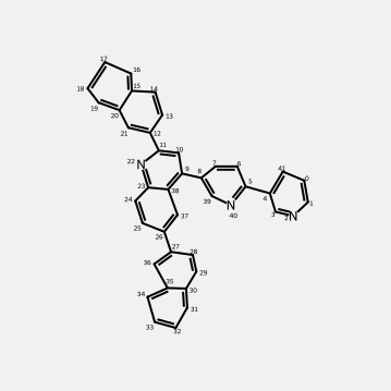 c1cncc(-c2ccc(-c3cc(-c4ccc5ccccc5c4)nc4ccc(-c5ccc6ccccc6c5)cc34)cn2)c1